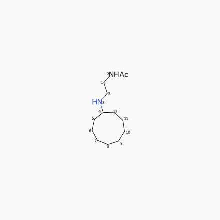 CC(=O)NCCNC1CCCCCCCC1